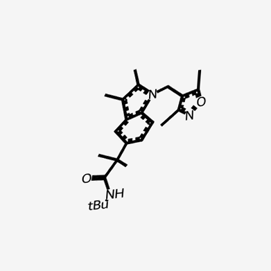 Cc1noc(C)c1Cn1c(C)c(C)c2cc(C(C)(C)C(=O)NC(C)(C)C)ccc21